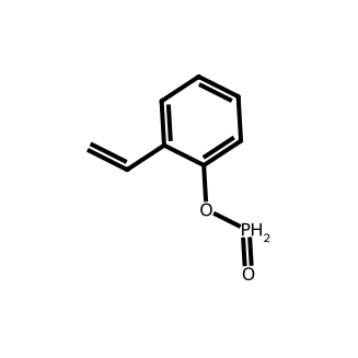 C=Cc1ccccc1O[PH2]=O